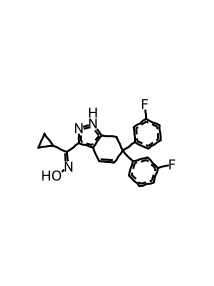 ON=C(c1n[nH]c2c1C=CC(c1cccc(F)c1)(c1cccc(F)c1)C2)C1CC1